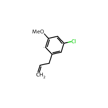 C=CCc1[c]c(OC)cc(Cl)c1